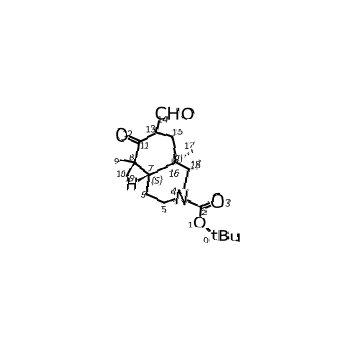 CC(C)(C)OC(=O)N1CC[C@@H]2C(C)(C)C(=O)C(C=O)C[C@@]2(C)C1